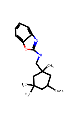 COC1CC(C)(C)CC(C)(CNc2nc3ccccc3o2)C1